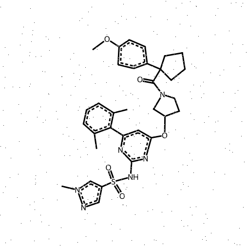 COc1ccc(C2(C(=O)N3CCC(Oc4cc(-c5c(C)cccc5C)nc(NS(=O)(=O)c5cnn(C)c5)n4)C3)CCCC2)cc1